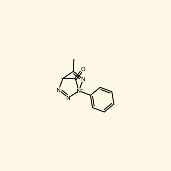 CC1=N[N+]2(c3ccccc3)N=N[C]1C2=O